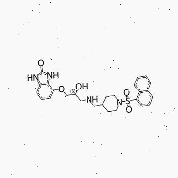 O=c1[nH]c2cccc(OC[C@@H](O)CNCC3CCN(S(=O)(=O)c4cccc5ccccc45)CC3)c2[nH]1